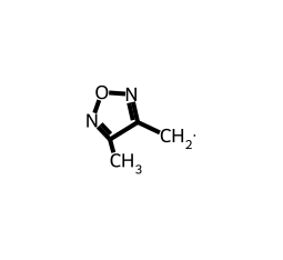 [CH2]c1nonc1C